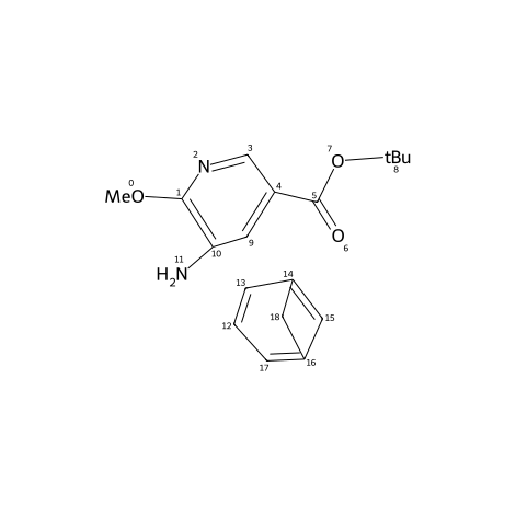 COc1ncc(C(=O)OC(C)(C)C)cc1N.c1cc2cc(c1)C2